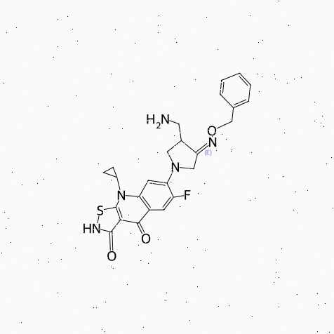 NCC1CN(c2cc3c(cc2F)c(=O)c2c(=O)[nH]sc2n3C2CC2)C/C1=N/OCc1ccccc1